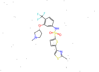 Cc1nc(-c2ccc(S(=O)(=O)Nc3ccc(C(F)(F)F)c(O[C@@H]4CCN(C)C4)c3)s2)cs1